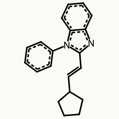 C(=CC1CCCC1)c1nc2ccccc2n1-c1ccccc1